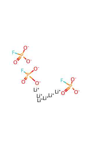 O=P([O-])([O-])F.O=P([O-])([O-])F.O=P([O-])([O-])F.[Li+].[Li+].[Li+].[Li+].[Li+].[Li+]